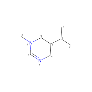 CC(C)C1CN=CN(C)C1